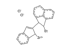 CCC1c2cccc3cccc(c23)C1C1=Cc2ccccc2[CH]1[Zr+2].[Cl-].[Cl-]